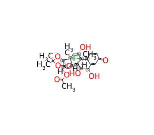 CC(=O)OCC(=O)[C@@]12OC(C)(C)O[C@@H]1C[C@H]1[C@@H]3[C@@H](O)[C@@H](O)C4=CC(=O)C=C[C@]4(C)[C@@]3(F)[C@@H](O)C[C@@]12C